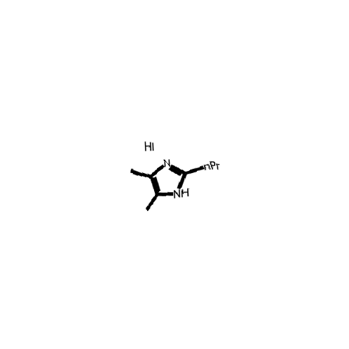 CCCc1nc(C)c(C)[nH]1.I